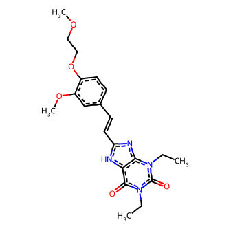 CCn1c(=O)c2[nH]c(C=Cc3ccc(OCCOC)c(OC)c3)nc2n(CC)c1=O